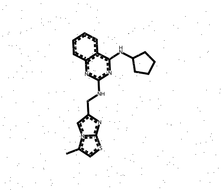 Cc1csc2nc(CNc3nc(NC4CCCC4)c4ccccc4n3)cn12